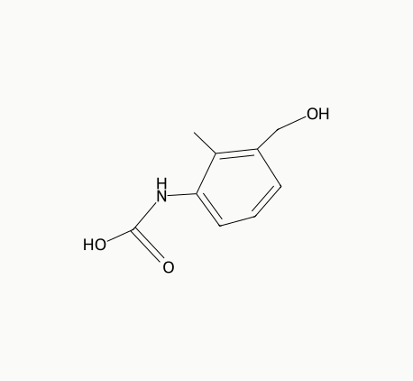 Cc1c(CO)cccc1NC(=O)O